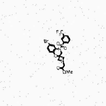 COC(=O)CN1CC2(C1)CN(S(=O)(=O)c1cccc(C(F)(F)F)c1)c1cc(Br)ccc1O2